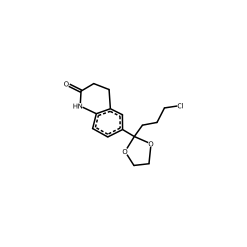 O=C1CCc2cc(C3(CCCCl)OCCO3)ccc2N1